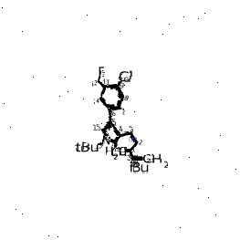 C=C(/C=C\c1c(-c2ccc(Cl)c(CF)c2)cn(C(C)(C)C)c1C)C(=C)[C@@H](C)CC